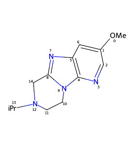 COc1cnc2c(c1)nc1n2CCN(C(C)C)C1